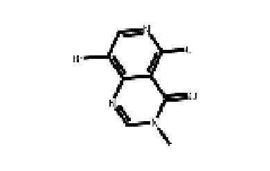 Cn1cnc2c(Br)cnc(Cl)c2c1=O